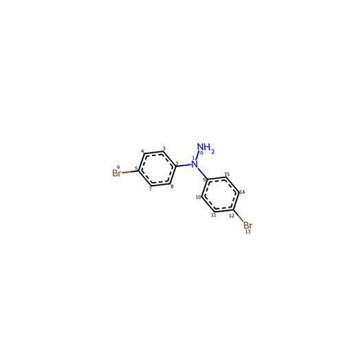 NN(c1ccc(Br)cc1)c1ccc(Br)cc1